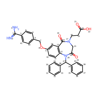 N=C(N)c1ccc(COc2ccc3c(c2)C(=O)N(CCC(=O)O)CC(=O)N3C(c2ccccc2)c2ccccc2)cc1